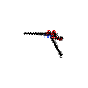 CCCCCCCCCCCCCCCCCCOC(=O)C(COC(=O)C(C)C(C)(C)OC(C)(C)CCOC(C)(C)C)NC(=O)CCCCCCCCCCCCCCCCC